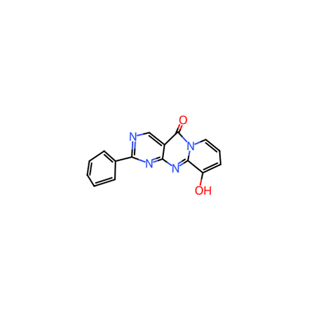 O=c1c2cnc(-c3ccccc3)nc2nc2c(O)cccn12